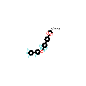 CCCCCC1COC(c2ccc(-c3cc(F)c(C(F)(F)Oc4ccc(-c5cc(F)c(F)c(F)c5)c(F)c4)c(F)c3)cc2)OC1